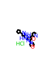 Cl.c1cnc2oc3c(N4CCOCC4)nc(Nc4cc(C5CCCC5)n[nH]4)nc3c2c1